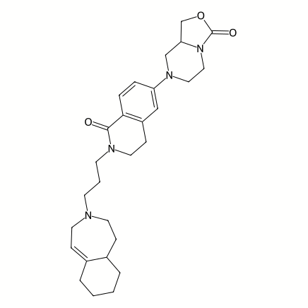 O=C1c2ccc(N3CCN4C(=O)OCC4C3)cc2CCN1CCCN1CC=C2CCCCC2CC1